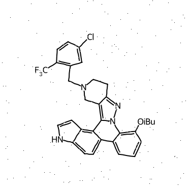 CC(C)COc1cccc2c3ccc4[nH]ccc4c3c3c4c(nn3c12)CCN(Cc1cc(Cl)ccc1C(F)(F)F)C4